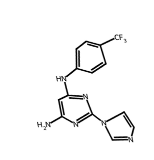 Nc1cc(Nc2ccc(C(F)(F)F)cc2)nc(-n2ccnc2)n1